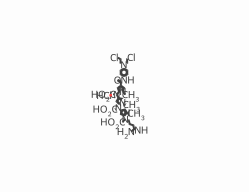 Cl.Cn1cc(N(C(=O)O)c2cc(N(C(=O)O)c3cc(C(=O)Nc4ccc(N(CCCl)CCCl)cc4)cn3C)cn2C)cc1N(CCCC(=N)N)C(=O)O